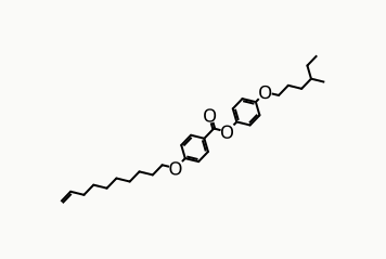 C=CCCCCCCCCOc1ccc(C(=O)Oc2ccc(OCCCC(C)CC)cc2)cc1